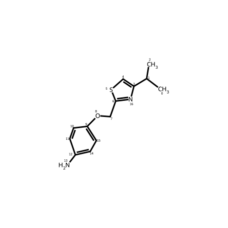 CC(C)c1csc(COc2ccc(N)cc2)n1